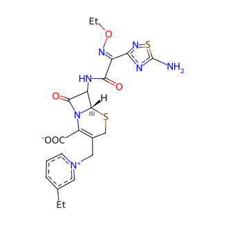 CCON=C(C(=O)NC1C(=O)N2C(C(=O)[O-])=C(C[n+]3cccc(CC)c3)CS[C@@H]12)c1nsc(N)n1